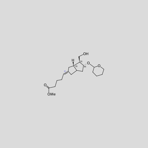 COC(=O)CCC/C=C1\CC2C[C@@H](OC3CCCCO3)[C@H](CO)[C@H]2C1